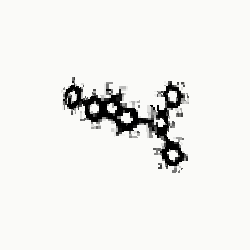 FC1(F)c2cc(-c3cccnc3)ccc2-c2ccc(-c3nc(-c4ccccc4)cc(-c4ccccc4)n3)cc21